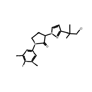 Cc1cc(N2CCC(n3ccc(C(C)(C)CCl)n3)C2=O)cc(C)c1F